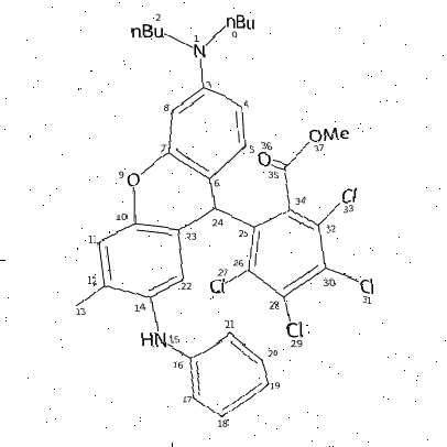 CCCCN(CCCC)c1ccc2c(c1)Oc1cc(C)c(Nc3ccccc3)cc1C2c1c(Cl)c(Cl)c(Cl)c(Cl)c1C(=O)OC